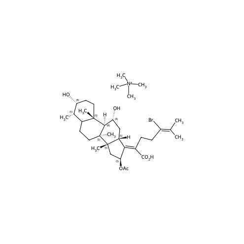 CC(=O)O[C@H]1C[C@@]2(C)[C@H](C[C@@H](O)[C@@H]3[C@@]4(C)CC[C@@H](O)[C@@H](C)C4CC[C@@]32C)C1=C(CCC(Br)=C(C)C)C(=O)O.C[N+](C)(C)C